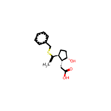 C=C(SCc1ccccc1)[C@H]1CC[C@H](O)[C@@H]1CC(=O)O